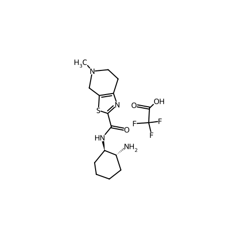 CN1CCc2nc(C(=O)N[C@@H]3CCCC[C@H]3N)sc2C1.O=C(O)C(F)(F)F